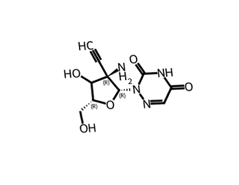 C#C[C@@]1(N)C(O)[C@@H](CO)O[C@H]1n1ncc(=O)[nH]c1=O